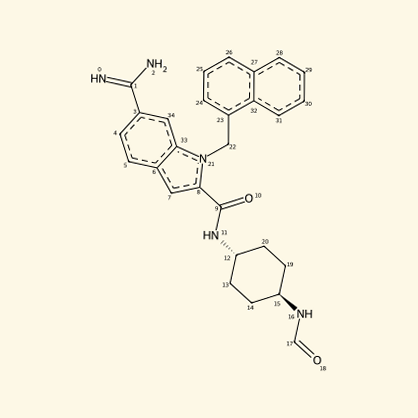 N=C(N)c1ccc2cc(C(=O)N[C@H]3CC[C@H](NC=O)CC3)n(Cc3cccc4ccccc34)c2c1